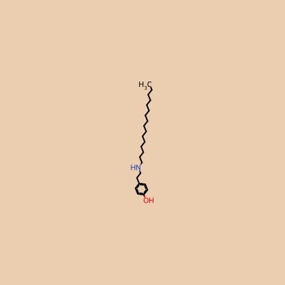 CCCCCCCCCCCCCCCCNCCc1ccc(O)cc1